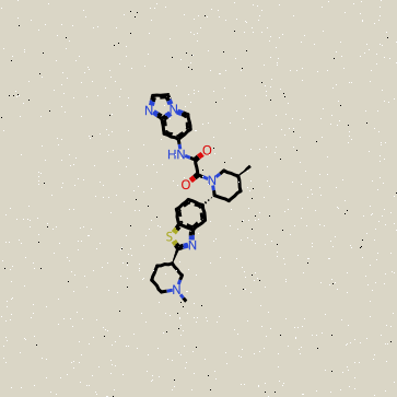 C[C@H]1CC[C@H](c2ccc3sc([C@@H]4CCCN(C)C4)nc3c2)N(C(=O)C(=O)Nc2ccn3ccnc3c2)C1